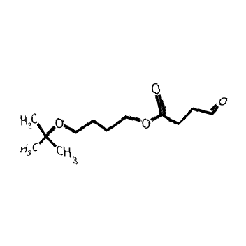 CC(C)(C)OCCCCOC(=O)CCC=O